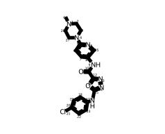 CN1CCN(c2ccc(NC(=O)c3nnc(Nc4ccc(Cl)cc4)o3)cn2)CC1